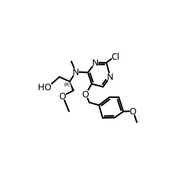 COC[C@@H](CO)N(C)c1nc(Cl)ncc1OCc1ccc(OC)cc1